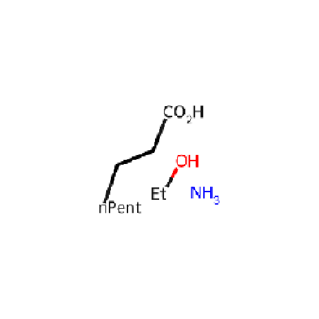 CCCCCCCC(=O)O.CCO.N